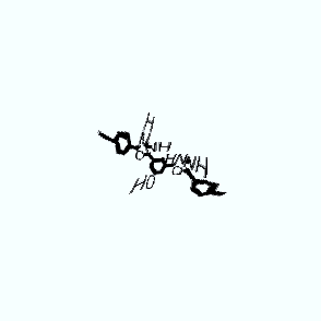 Cc1ccc(C2NNC(c3cc(O)cc(C4NNC(c5ccc(C)cc5)O4)c3)O2)cc1